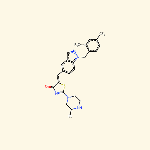 CC[C@H]1CN(C2=NC(=O)/C(=C/c3ccc4c(cnn4Cc4ccc(C(F)(F)F)cc4C(F)(F)F)c3)S2)CCN1